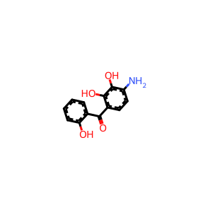 Nc1ccc(C(=O)c2ccccc2O)c(O)c1O